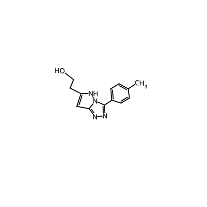 Cc1ccc(-c2nnc3cc(CCO)[nH]n23)cc1